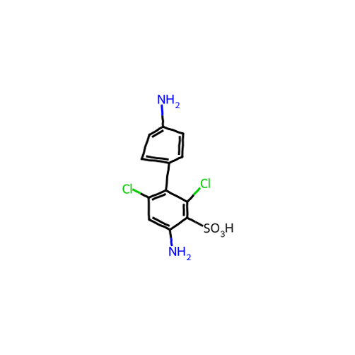 Nc1ccc(-c2c(Cl)cc(N)c(S(=O)(=O)O)c2Cl)cc1